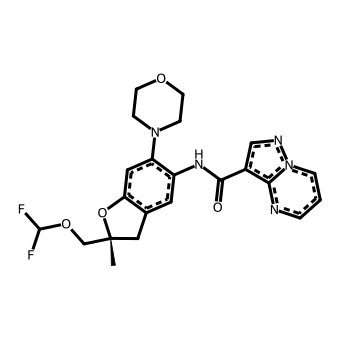 C[C@]1(COC(F)F)Cc2cc(NC(=O)c3cnn4cccnc34)c(N3CCOCC3)cc2O1